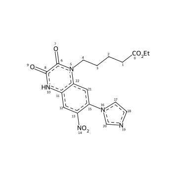 CCOC(=O)CCCCn1c(=O)c(=O)[nH]c2cc([N+](=O)[O-])c(-n3ccnc3)cc21